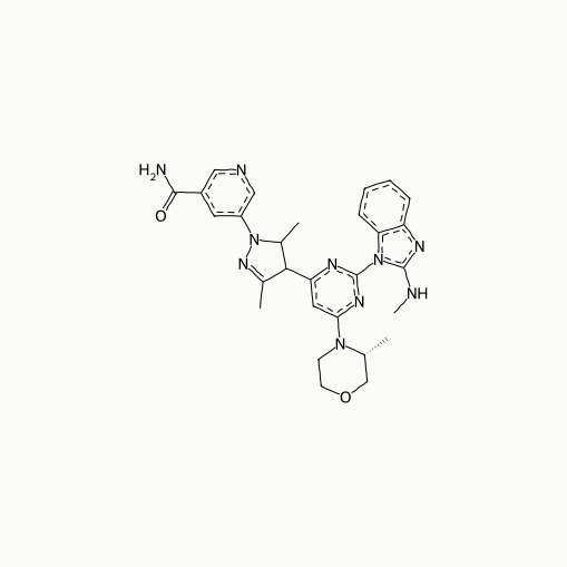 CNc1nc2ccccc2n1-c1nc(C2C(C)=NN(c3cncc(C(N)=O)c3)C2C)cc(N2CCOC[C@H]2C)n1